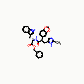 Cc1ncc(CC(C(=O)N[C@@H](Cc2c[nH]c3ccccc23)C(=O)OCc2ccccc2)c2ccc3c(c2)OCO3)[nH]1